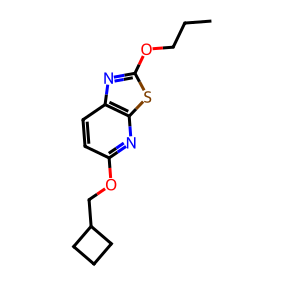 CCCOc1nc2ccc(OCC3CCC3)nc2s1